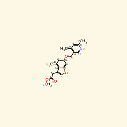 COC(=O)Cc1csc2cc(OCc3cnc(C)cc3C)cc(C)c12